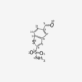 NS(=O)(=O)c1cc2cc(C=O)ccc2s1